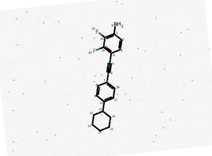 Bc1ccc(C#Cc2ccc(C3CCCCC3)cc2)c(F)c1F